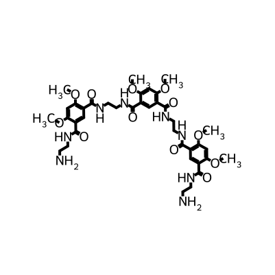 COc1cc(OC)c(C(=O)NCCNC(=O)c2cc(C(=O)NCCNC(=O)c3cc(C(=O)NCCN)c(OC)cc3OC)c(OC)cc2OC)cc1C(=O)NCCN